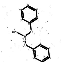 CCC[SiH](Oc1ccccc1)Oc1ccccc1